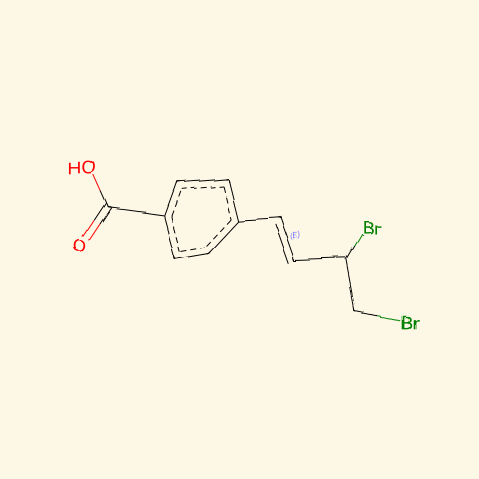 O=C(O)c1ccc(/C=C/C(Br)CBr)cc1